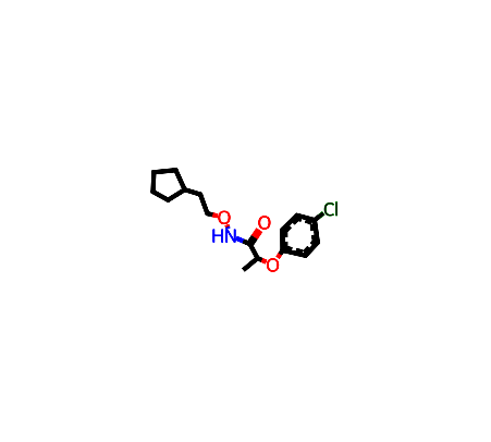 CC(Oc1ccc(Cl)cc1)C(=O)NOCCC1CCCC1